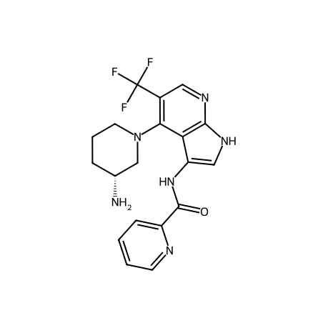 N[C@@H]1CCCN(c2c(C(F)(F)F)cnc3[nH]cc(NC(=O)c4ccccn4)c23)C1